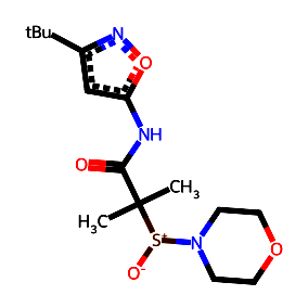 CC(C)(C)c1cc(NC(=O)C(C)(C)[S+]([O-])N2CCOCC2)on1